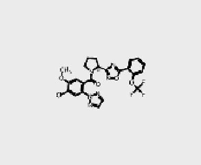 COc1cc(C(=O)N2CCC[C@H]2c2noc(-c3ccccc3OC(F)(F)F)n2)c(-n2nccn2)cc1Cl